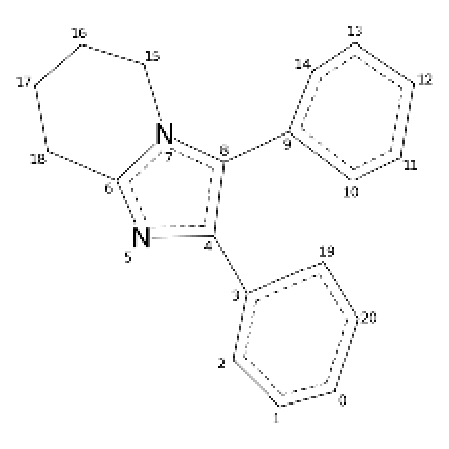 c1ccc(-c2nc3n(c2-c2ccccc2)CCCC3)cc1